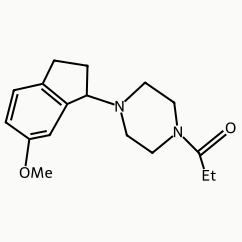 CCC(=O)N1CCN(C2CCc3ccc(OC)cc32)CC1